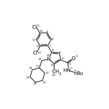 CCCCNC(=O)c1cc(-c2ccc(Cl)cc2Cl)n(CC2CCCCC2)c1C